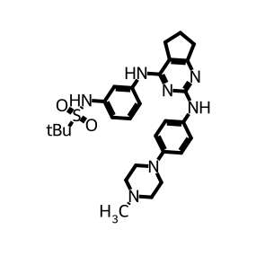 CN1CCN(c2ccc(Nc3nc4c(c(Nc5cccc(NS(=O)(=O)C(C)(C)C)c5)n3)CCC4)cc2)CC1